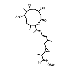 CCC(=NOC)C(C)C1OC1CC(C)/C=C/C=C(\C)C1OC(=O)CC(O)CC(O)C(C)C(OC(C)=O)/C=C/C1C